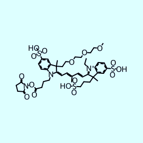 CC[N+]1=C(/C=C/C(C)=C/C=C2/N(CCCC(=O)ON3C(=O)CCC3=O)c3ccc(S(=O)(=O)O)cc3C2(C)CCOCCOCCOC)C(C)(CCCS(=O)(=O)O)c2cc(S(=O)(=O)O)ccc21